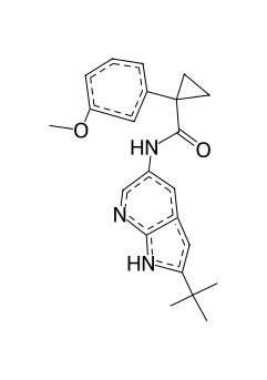 COc1cccc(C2(C(=O)Nc3cnc4[nH]c(C(C)(C)C)cc4c3)CC2)c1